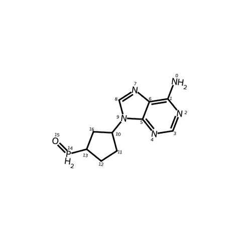 Nc1ncnc2c1ncn2C1CCC([PH2]=O)C1